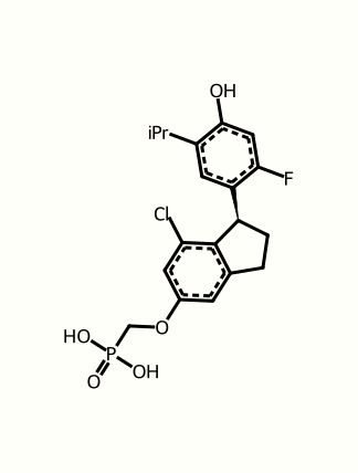 CC(C)c1cc([C@H]2CCc3cc(OCP(=O)(O)O)cc(Cl)c32)c(F)cc1O